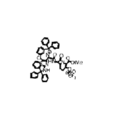 COC(=O)C1=C(OS(=O)(=O)C(F)(F)F)CCC2C(NC(=O)/C(=N\OC(c3ccccc3)(c3ccccc3)c3ccccc3)c3nc(NC(c4ccccc4)(c4ccccc4)c4ccccc4)sc3Cl)C(=O)N12